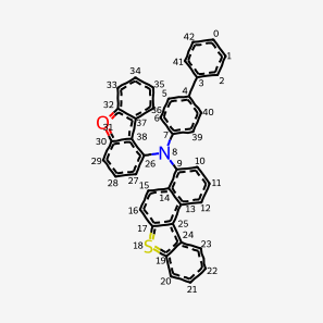 c1ccc(-c2ccc(N(c3cccc4c3ccc3sc5ccccc5c34)c3cccc4oc5ccccc5c34)cc2)cc1